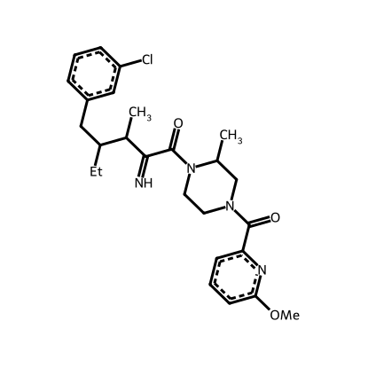 CCC(Cc1cccc(Cl)c1)C(C)C(=N)C(=O)N1CCN(C(=O)c2cccc(OC)n2)CC1C